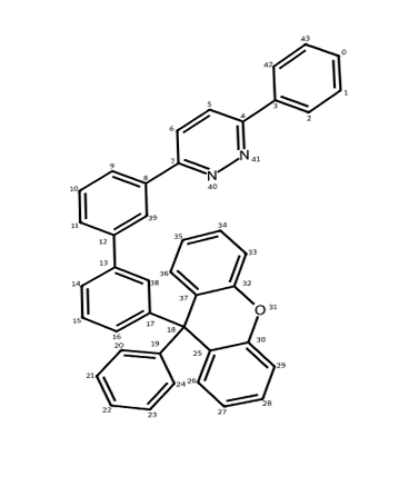 c1ccc(-c2ccc(-c3cccc(-c4cccc(C5(c6ccccc6)c6ccccc6Oc6ccccc65)c4)c3)nn2)cc1